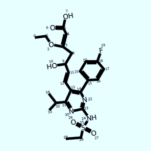 CCO/C(=C\C(=O)O)CC(O)/C=C/c1c(-c2ccc(F)cc2)nc(NS(=O)(=O)CC)nc1C(C)C